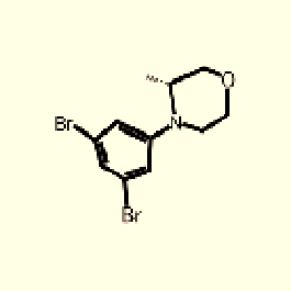 C[C@@H]1COCCN1c1cc(Br)cc(Br)c1